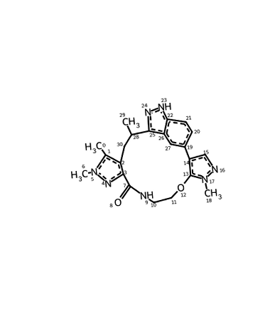 Cc1c2c(nn1C)C(=O)NCCOc1c(cnn1C)-c1ccc3[nH]nc(c3c1)C(C)C2